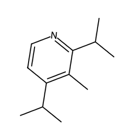 Cc1c(C(C)C)ccnc1C(C)C